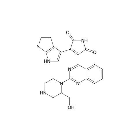 O=C1NC(=O)C(c2c[nH]c3sccc23)=C1c1nc(N2CCNCC2CO)nc2ccccc12